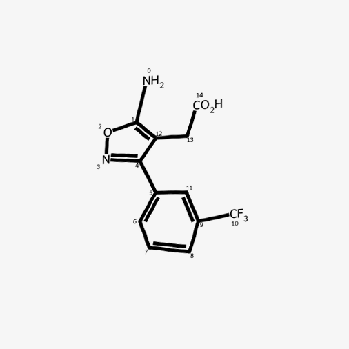 Nc1onc(-c2cccc(C(F)(F)F)c2)c1CC(=O)O